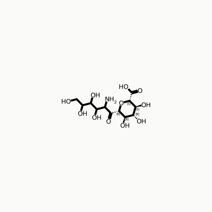 NC(C(=O)[C@@H]1O[C@H](C(=O)O)[C@@H](O)[C@H](O)[C@H]1O)C(O)C(O)C(O)CO